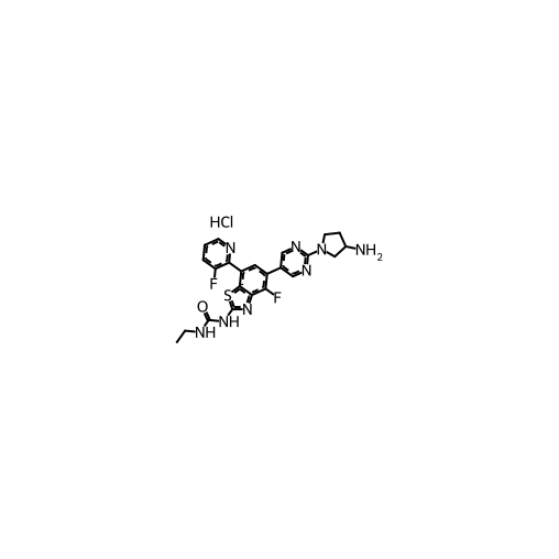 CCNC(=O)Nc1nc2c(F)c(-c3cnc(N4CCC(N)C4)nc3)cc(-c3ncccc3F)c2s1.Cl